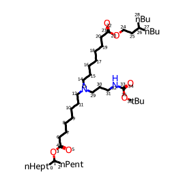 CCCCCCCC(CCCCC)OC(=O)CCCCCCCN(CCCCCCCC(=O)OCCC(CCCC)CCCC)CCCNC(=O)OC(C)(C)C